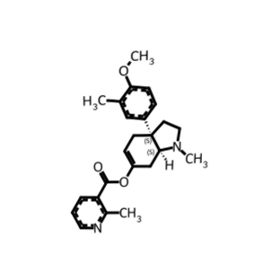 COc1ccc([C@@]23CC=C(OC(=O)c4cccnc4C)C[C@@H]2N(C)CC3)cc1C